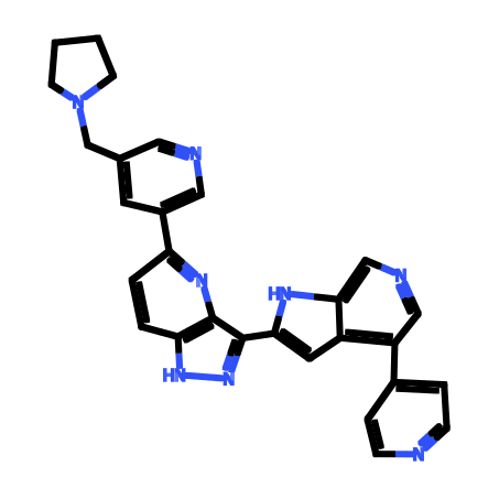 c1cc(-c2cncc3[nH]c(-c4n[nH]c5ccc(-c6cncc(CN7CCCC7)c6)nc45)cc23)ccn1